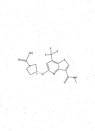 CNC(=O)c1csc2c(C(F)(F)F)cc(O[C@@H]3CCN(C(=O)O)C3)nc12